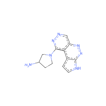 NC1CCN(c2nncc3nnc4[nH]ccc4c23)C1